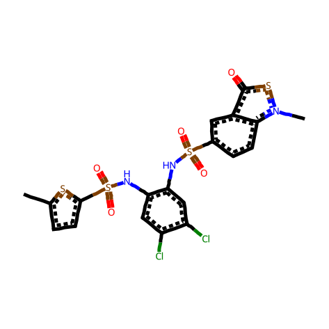 Cc1ccc(S(=O)(=O)Nc2cc(Cl)c(Cl)cc2NS(=O)(=O)c2ccc3c(c2)c(=O)sn3C)s1